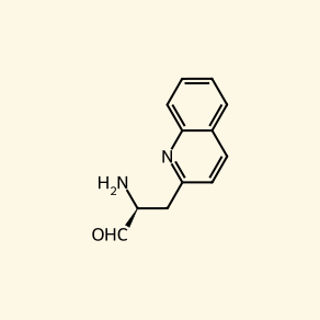 N[C@H](C=O)Cc1ccc2ccccc2n1